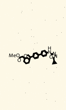 COC(=O)CC12CCCC(C1)C(c1ccc(-c3ccc(Nc4nnc(C5CC5)o4)cc3)cc1)CO2